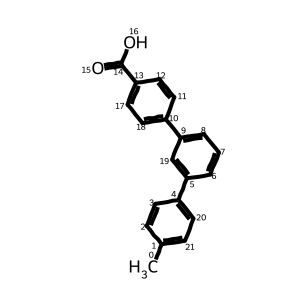 Cc1ccc(-c2cccc(-c3ccc(C(=O)O)cc3)c2)cc1